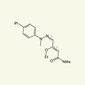 CCOC(/C=N\N(C)c1ccc(C(C)C)cc1)=C\C(=O)NC